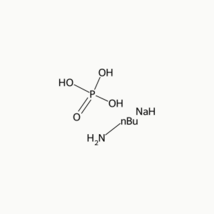 CCCCN.O=P(O)(O)O.[NaH]